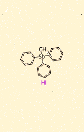 I.[CH3][Sb]([c]1ccccc1)([c]1ccccc1)[c]1ccccc1